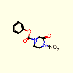 O=C(Oc1ccccc1)N1CCN([N+](=O)[O-])C(=O)C1